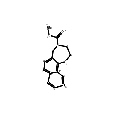 CC(C)(C)OC(=O)N1CCOc2c(ccc3ccncc23)C1